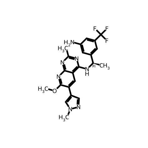 COc1nc2nc(C)nc(N[C@H](C)c3cc(N)cc(C(F)(F)F)c3)c2cc1-c1cnn(C)c1